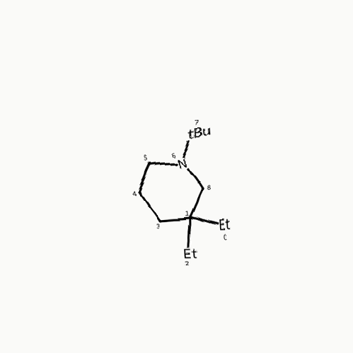 CCC1(CC)CCCN(C(C)(C)C)C1